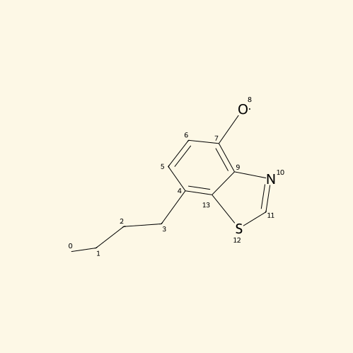 CCCCc1ccc([O])c2ncsc12